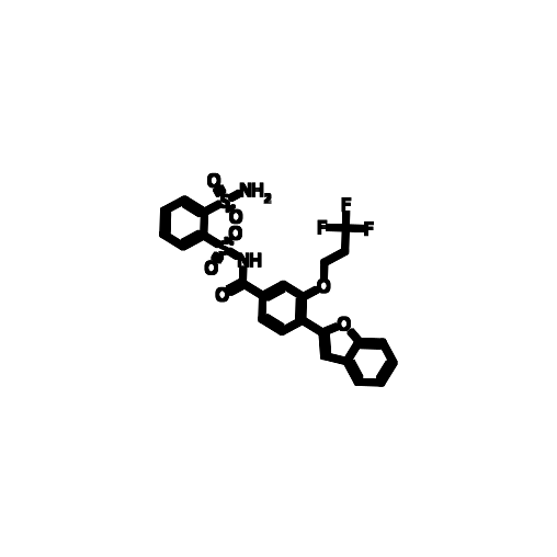 NS(=O)(=O)c1ccccc1S(=O)(=O)NC(=O)c1ccc(-c2cc3ccccc3o2)c(OCCC(F)(F)F)c1